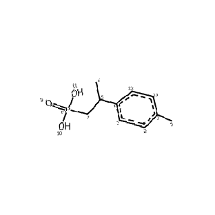 Cc1ccc(C(C)CP(=O)(O)O)cc1